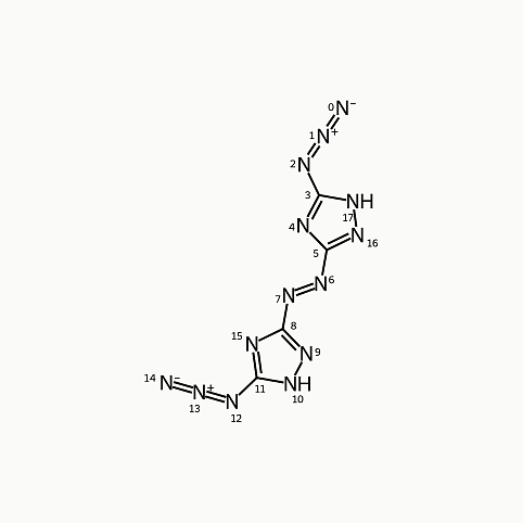 [N-]=[N+]=Nc1nc(N=Nc2n[nH]c(N=[N+]=[N-])n2)n[nH]1